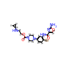 Nc1nc(C(=O)Nc2cc(N3CCN(C(=O)OCCNC4CC4)CC3)ccc2Br)co1